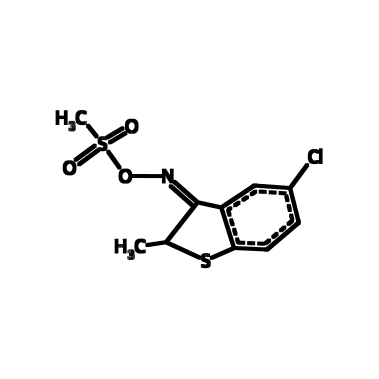 CC1Sc2ccc(Cl)cc2/C1=N/OS(C)(=O)=O